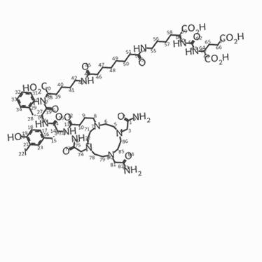 NC(=O)CN1CCN(CCCC(=O)N[C@H](Cc2ccc(O)c(I)c2)C(=O)N[C@H](Cc2ccccc2)C(=O)N[C@H](CCCCNC(=O)CCCCCCC(=O)NCCCC[C@H](NC(=O)N[C@@H](CCC(=O)O)C(=O)O)C(=O)O)C(=O)O)CCN(CC(N)=O)CCN(CC(N)=O)CC1